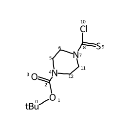 CC(C)(C)OC(=O)N1CCN(C(=S)Cl)CC1